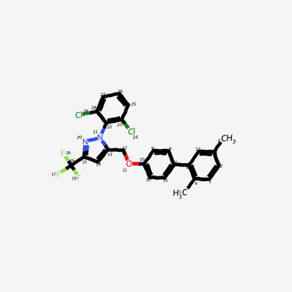 Cc1ccc(C)c(-c2ccc(OCc3cc(C(F)(F)F)nn3-c3c(Cl)cccc3Cl)cc2)c1